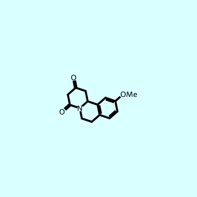 COc1ccc2c(c1)C1CC(=O)CC(=O)N1CC2